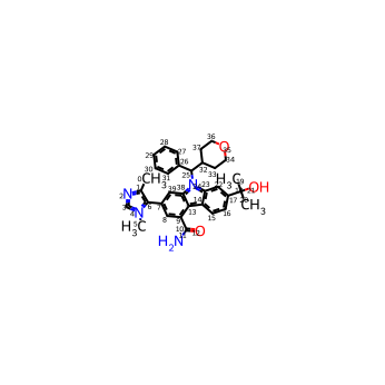 Cc1ncn(C)c1-c1cc(C(N)=O)c2c3ccc(C(C)(C)O)cc3n(C(c3ccccc3)C3CCOCC3)c2c1